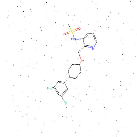 CS(=O)(=O)Nc1cccnc1CO[C@H]1CC[C@@H](c2cc(F)cc(F)c2)CC1